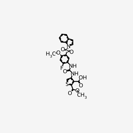 COC(=O)c1scc(NC(=O)Nc2cc(S(=O)(=O)n3ccc4ccccc43)c(OC)cc2F)c1C(=O)O